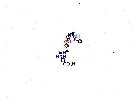 CC1(C(=O)Oc2ccc(C3CC3NCC3(CN[C@H]4CC[C@H](C(=O)O)CC4)CC3)cc2)CCN(CC2(CNC3CC3c3ccccc3)CC2)CC1